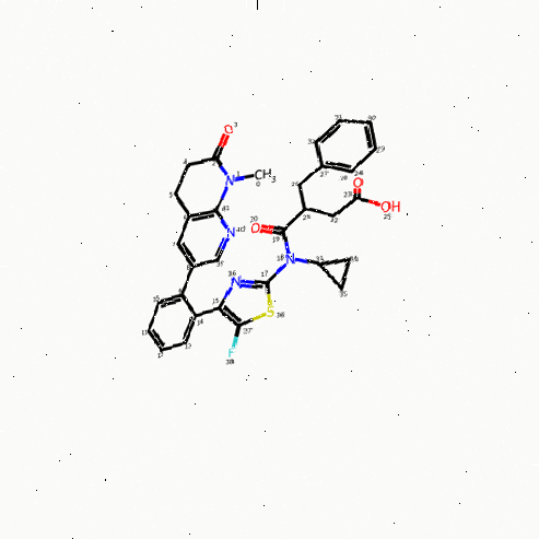 CN1C(=O)CCc2cc(-c3ccccc3-c3nc(N(C(=O)C(CC(=O)O)Cc4ccccc4)C4CC4)sc3F)cnc21